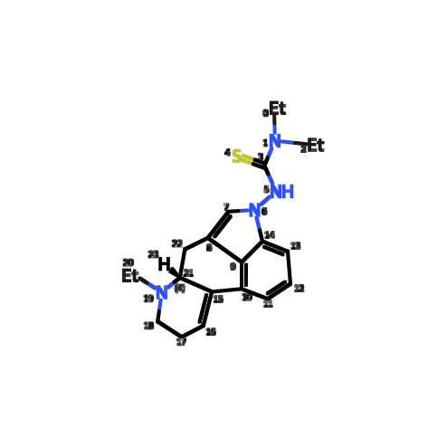 CCN(CC)C(=S)Nn1cc2c3c(cccc31)C1=CCCN(CC)[C@@H]1C2